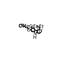 CCN(CC)c1nccc2[nH]c3cc(OCCCN4CCCC4)c(OC)cc3c12